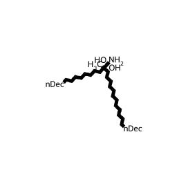 CCCCCCCCCCCCCCCCCCCCCCC(C)(CCCCCCCCCCCCCCCCCC)C(N)(O)O